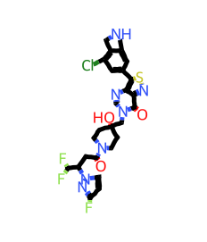 O=C(CC(C(F)F)n1ccc(F)n1)N1CCC(O)(Cn2cnc3c(-c4cc(Cl)c5c(c4)CNC5)snc3c2=O)CC1